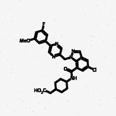 COc1cc(F)cc(-c2cnc(Cn3ncc4cc(Cl)cc(C(=O)NC5CCC(CC(=O)O)CC5)c43)cn2)c1